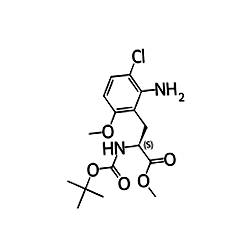 COC(=O)[C@H](Cc1c(OC)ccc(Cl)c1N)NC(=O)OC(C)(C)C